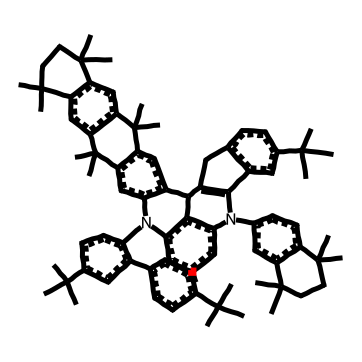 Cc1cc2c3c(c1)N(c1ccc(C(C)(C)C)cc1-c1ccc(C(C)(C)C)cc1)c1cc4c(cc1C3C1=C(c3cc(C(C)(C)C)ccc3C1)N2c1ccc2c(c1)C(C)(C)CCC2(C)C)C(C)(C)c1cc2c(cc1C4(C)C)C(C)(C)CCC2(C)C